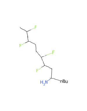 CCCCC(N)CC(F)C(F)CCC(F)C(C)F